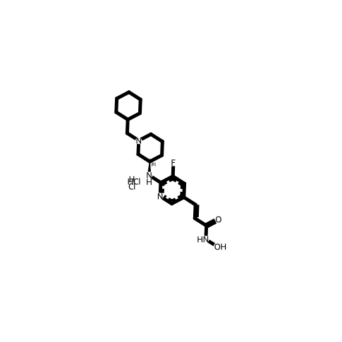 Cl.Cl.O=C(C=Cc1cnc(N[C@@H]2CCCN(CC3CCCCC3)C2)c(F)c1)NO